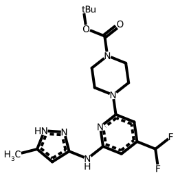 Cc1cc(Nc2cc(C(F)F)cc(N3CCN(C(=O)OC(C)(C)C)CC3)n2)n[nH]1